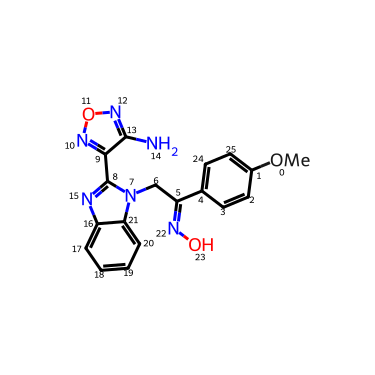 COc1ccc(C(Cn2c(-c3nonc3N)nc3ccccc32)=NO)cc1